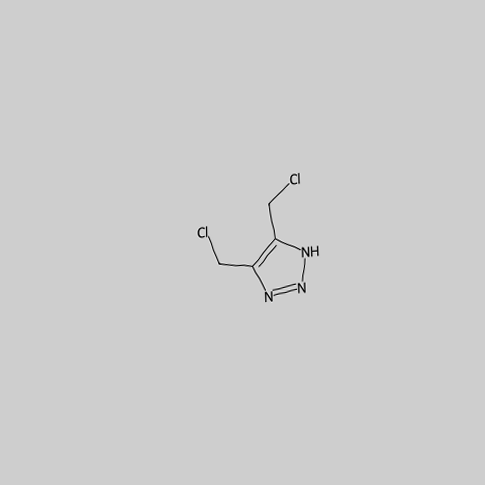 ClCc1nn[nH]c1CCl